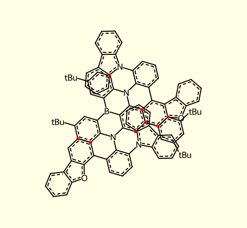 CC(C)(C)c1cc(-c2cc3c4c(c2)N(c2c(-c5cccc6oc7ccccc7c56)cccc2-n2c5ccccc5c5ccccc52)c2ccc(C(C)(C)C)cc2B4c2cc(C(C)(C)C)ccc2N3c2c(-c3cccc4c3oc3ccccc34)cccc2-n2c3ccccc3c3ccccc32)cc(C(C)(C)C)c1